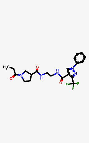 CCC(=O)N1CCC(C(=O)NCCNC(=O)c2cn(-c3ccccc3)nc2C(F)(F)F)C1